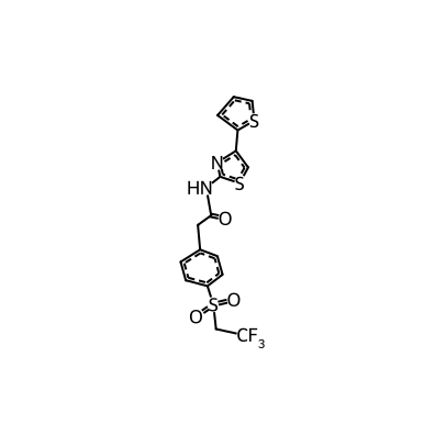 O=C(Cc1ccc(S(=O)(=O)CC(F)(F)F)cc1)Nc1nc(-c2cccs2)cs1